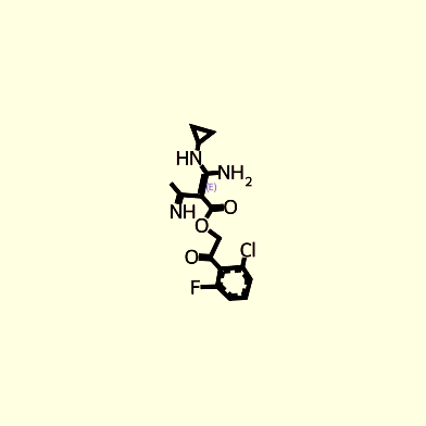 CC(=N)/C(C(=O)OCC(=O)c1c(F)cccc1Cl)=C(/N)NC1CC1